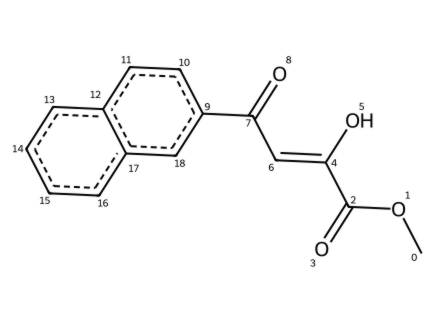 COC(=O)C(O)=CC(=O)c1ccc2ccccc2c1